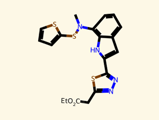 CCOC(=O)Cc1nnc(-c2cc3cccc(N(C)Sc4cccs4)c3[nH]2)s1